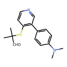 CN(C)c1ccc(-c2cnccc2SC(C)(C)C=O)cc1